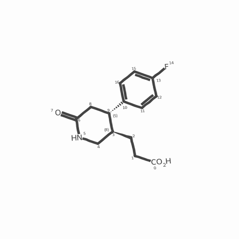 O=C(O)CC[C@H]1CNC(=O)C[C@@H]1c1ccc(F)cc1